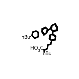 CCCCC(CCCc1ccc(-c2ccccc2-c2ccc([C@H]3CC[C@H](CCCC)CC3)cc2)cc1)C(=O)O